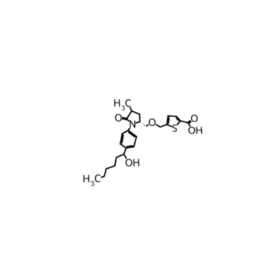 CCCCCC(O)c1ccc(N2C(=O)C(C)C[C@@H]2COCc2ccc(C(=O)O)s2)cc1